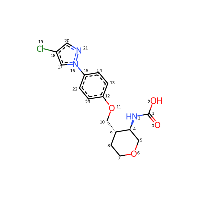 O=C(O)N[C@H]1COCC[C@@H]1COc1ccc(-n2cc(Cl)cn2)cc1